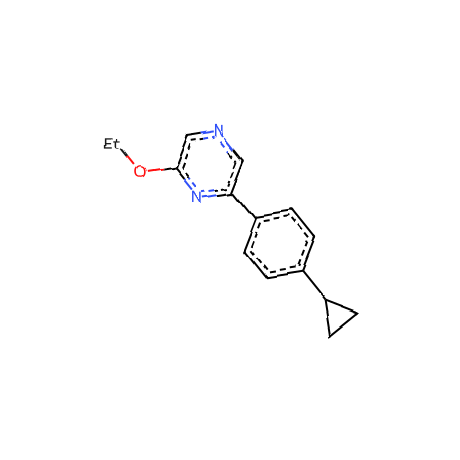 CCOc1cncc(-c2ccc(C3CC3)cc2)n1